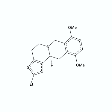 CCc1cc2c(s1)CCN1Cc3c(OC)ccc(OC)c3C[C@@H]21